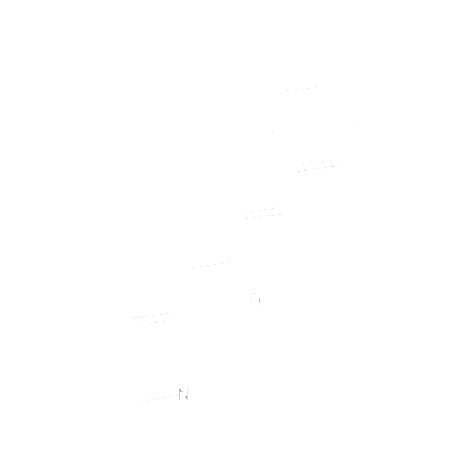 Cc1cccc(C=CC(=O)Cc2cccnc2)c1